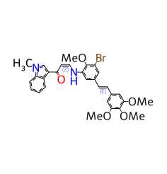 COc1cc(/C=C/c2cc(Br)c(OC)c(N/C=C\C(=O)c3cn(C)c4ccccc34)c2)cc(OC)c1OC